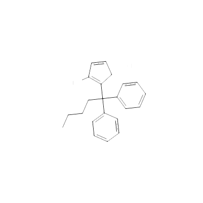 CCCCC(C1=[C]([Ti+3])C=CC1)(c1ccccc1)c1ccccc1.[Cl-].[Cl-].[Cl-]